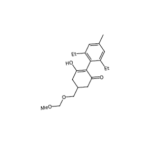 CCc1cc(C)cc(CC)c1C1=C(O)CC(COCOC)CC1=O